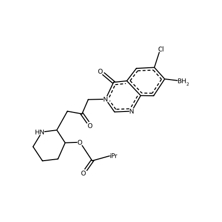 Bc1cc2ncn(CC(=O)CC3NCCCC3OC(=O)C(C)C)c(=O)c2cc1Cl